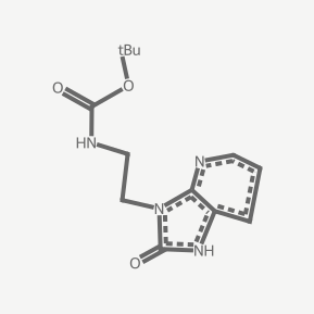 CC(C)(C)OC(=O)NCCn1c(=O)[nH]c2cccnc21